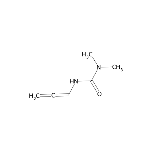 C=C=CNC(=O)N(C)C